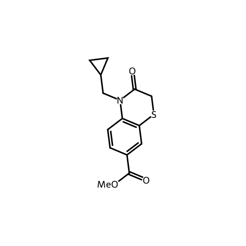 COC(=O)c1ccc2c(c1)SCC(=O)N2CC1CC1